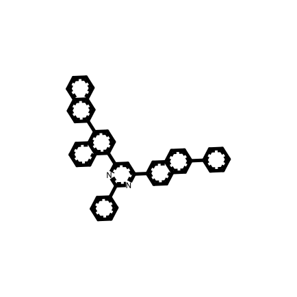 c1ccc(-c2ccc3cc(-c4cc(-c5ccc(-c6ccc7ccccc7c6)c6ccccc56)nc(-c5ccccc5)n4)ccc3c2)cc1